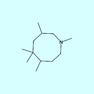 CC1CN(C)CCC(C)C(C)(C)C1